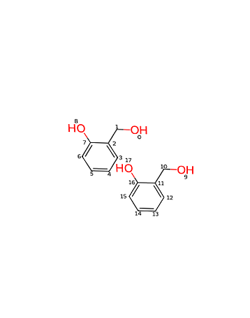 OCc1ccccc1O.OCc1ccccc1O